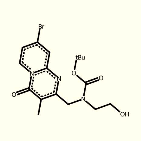 Cc1c(CN(CCO)C(=O)OC(C)(C)C)nc2cc(Br)ccn2c1=O